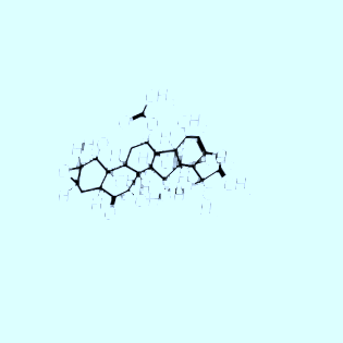 C=C1OC2=C[C@@H](C)[C@H]3[C@@H]([C@H](O)[C@H]4[C@@H]5[C@@H](O)C(=O)[C@H]6C[C@@H]7O[C@@H]7[C@H](O)[C@]6(C)[C@H]5C[C@H](OC(C)=O)[C@]34C)[C@@]2(C)[C@]1(C)O